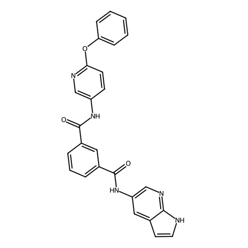 O=C(Nc1ccc(Oc2ccccc2)nc1)c1cccc(C(=O)Nc2cnc3[nH]ccc3c2)c1